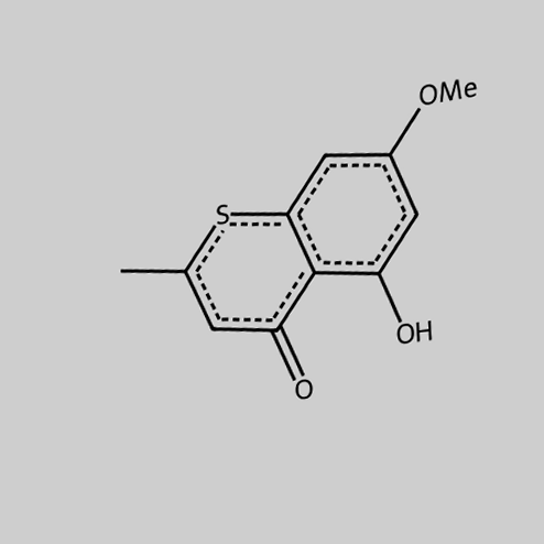 COc1cc(O)c2c(=O)cc(C)sc2c1